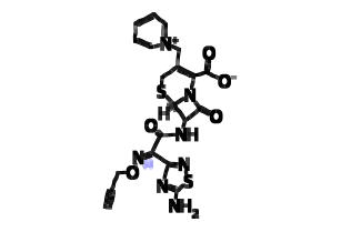 C#CCO/N=C(/C(=O)NC1C(=O)N2C(C(=O)[O-])=C(C[n+]3ccccc3)CS[C@H]12)c1nsc(N)n1